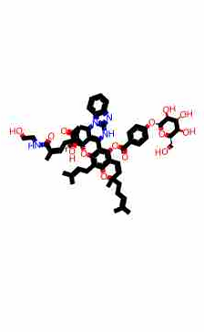 CC(C)=CCCC1(C)C=Cc2c(c(CC=C(C)C)c3c(c2OC(=O)c2ccc(O[C@H]4O[C@@H](CO)[C@H](O)[C@@H](O)[C@@H]4O)cc2)C2=C4C(C5CC(C(C)C)C4(O3)C(O)(C/C=C(/C)C(=O)NCCO)C5=O)n3c(nc4ccccc43)N2)O1